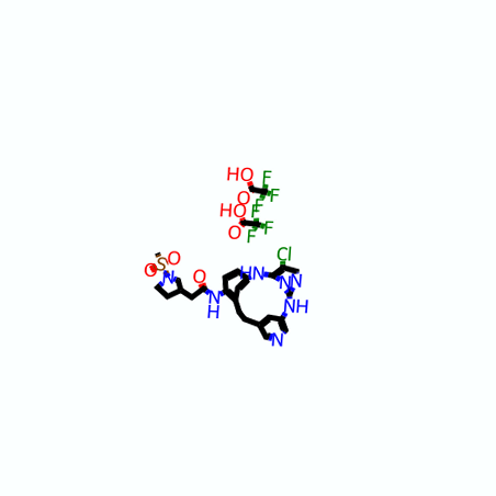 CS(=O)(=O)N1CCC(CC(=O)Nc2ccc3cc2CCc2cncc(c2)Nc2ncc(Cl)c(n2)N3)C1.O=C(O)C(F)(F)F.O=C(O)C(F)(F)F